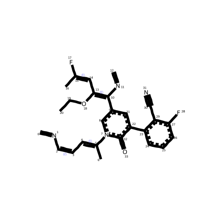 C=N/C=C\C=C(/C)n1cc(/C(N=C)=C(/C=C(\C)F)OCC)cc(-c2cccc(F)c2C#N)c1=O